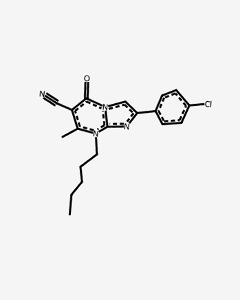 CCCCCn1c(C)c(C#N)c(=O)n2cc(-c3ccc(Cl)cc3)nc12